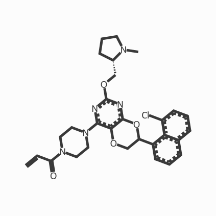 C=CC(=O)N1CCN(c2nc(OC[C@@H]3CCCN3C)nc3c2OCC(c2cccc4cccc(Cl)c24)O3)CC1